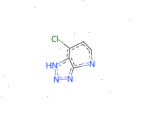 Clc1ccnc2nn[nH]c12